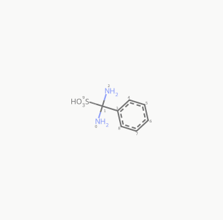 NC(N)(c1ccccc1)S(=O)(=O)O